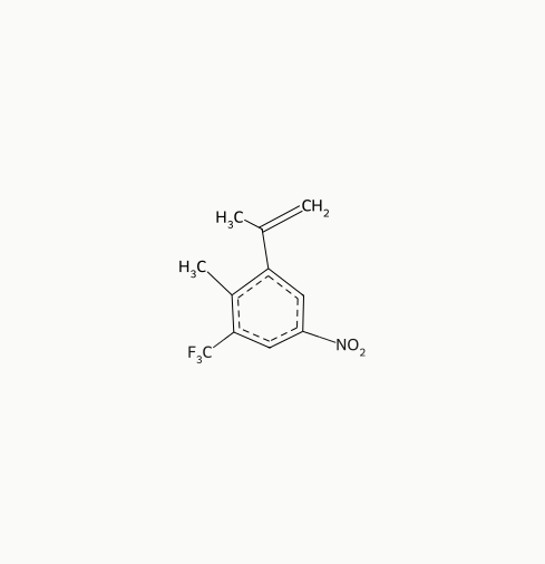 C=C(C)c1cc([N+](=O)[O-])cc(C(F)(F)F)c1C